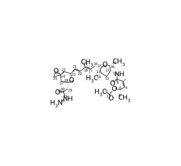 CC(=O)O[C@@H](C)/C=C\C(=O)N[C@@H]1C[C@H](C)[C@H](C/C=C(C)/C=C/[C@@H]2C[C@]3(CO3)C[C@@H](CC(=O)NN)O2)O[C@@H]1C